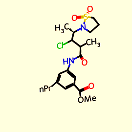 CCCc1cc(NC(=O)C(C)C(Cl)[C@@H](C)N2CCCS2(=O)=O)cc(C(=O)OC)c1